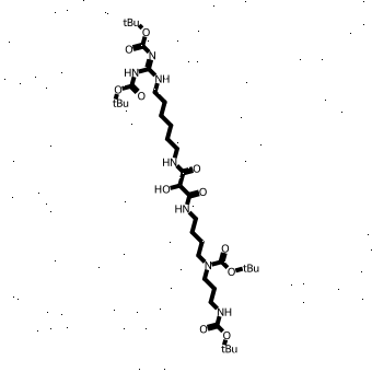 CC(C)(C)OC(=O)/N=C(/NCCCCCCNC(=O)C(O)C(=O)NCCCCN(CCCNC(=O)OC(C)(C)C)C(=O)OC(C)(C)C)NC(=O)OC(C)(C)C